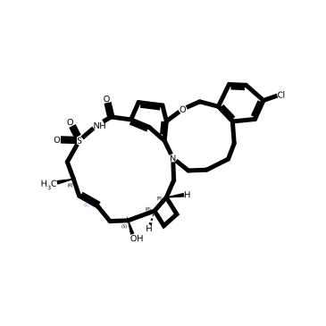 C[C@@H]1/C=C/C[C@H](O)[C@@H]2CC[C@H]2CN2CCCCc3cc(Cl)ccc3COc3ccc(cc32)C(=O)NS(=O)(=O)C1